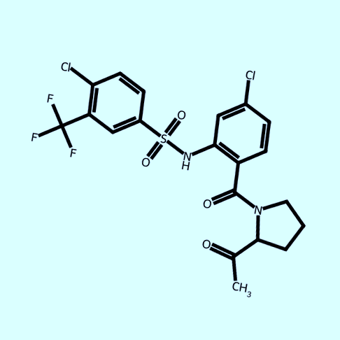 CC(=O)C1CCCN1C(=O)c1ccc(Cl)cc1NS(=O)(=O)c1ccc(Cl)c(C(F)(F)F)c1